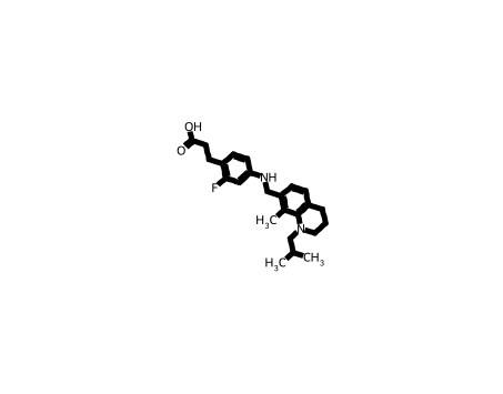 Cc1c(CNc2ccc(CCC(=O)O)c(F)c2)ccc2c1N(CC(C)C)CCC2